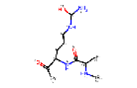 CC(C)C(=O)C(CCCNC(N)O)NC(=O)C(NC(C)(C)C)C(C)C